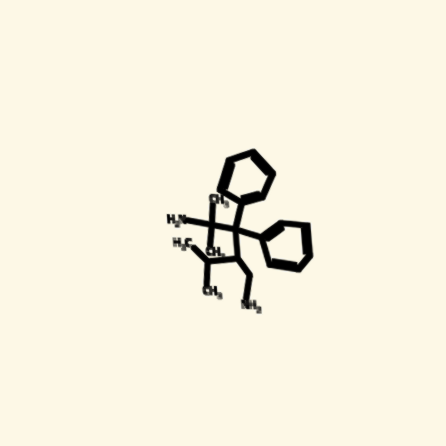 CC(C)C(CN)C(c1ccccc1)(c1ccccc1)C(C)(C)N